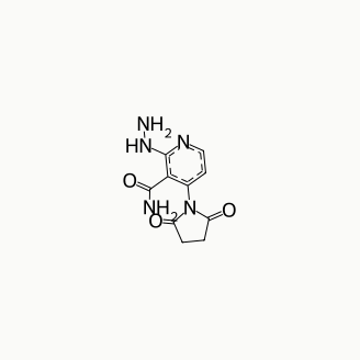 NNc1nccc(N2C(=O)CCC2=O)c1C(N)=O